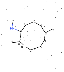 CNC1CCCC(C)CCCCC1C